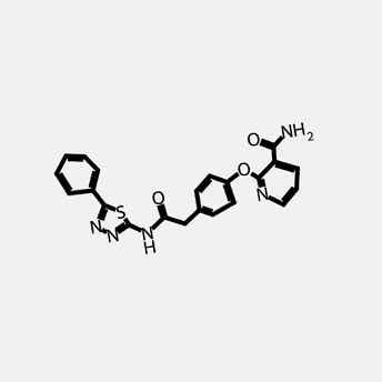 NC(=O)c1cccnc1Oc1ccc(CC(=O)Nc2nnc(-c3ccccc3)s2)cc1